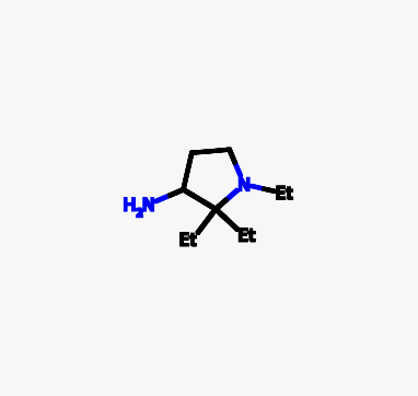 CCN1CCC(N)C1(CC)CC